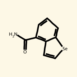 NC(=O)c1cccc2[se]ccc12